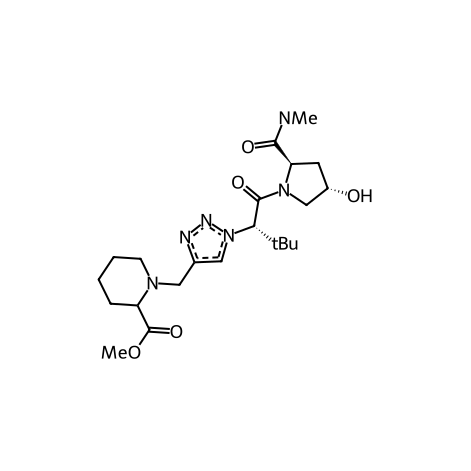 CNC(=O)[C@H]1C[C@H](O)CN1C(=O)[C@@H](n1cc(CN2CCCCC2C(=O)OC)nn1)C(C)(C)C